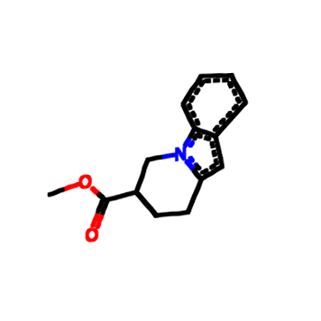 COC(=O)C1CCc2cc3ccccc3n2C1